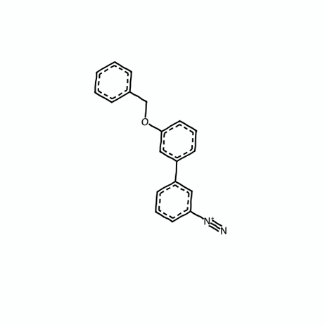 N#[N+]c1cccc(-c2cccc(OCc3ccccc3)c2)c1